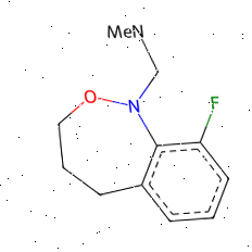 CNCN1OCCCc2cccc(F)c21